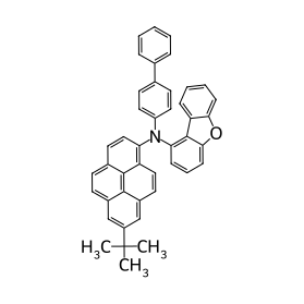 CC(C)(C)c1cc2ccc3ccc(N(c4ccc(-c5ccccc5)cc4)c4cccc5oc6ccccc6c45)c4ccc(c1)c2c34